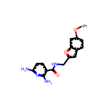 CCCOc1ccc2cc(CNC(=O)c3ccc(N)nc3N)oc2c1